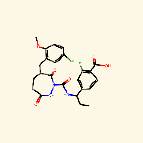 CCC(NC(=O)N1NC(=O)CCC(Cc2cc(Cl)ccc2OC)C1=O)c1ccc(C(=O)O)c(F)c1